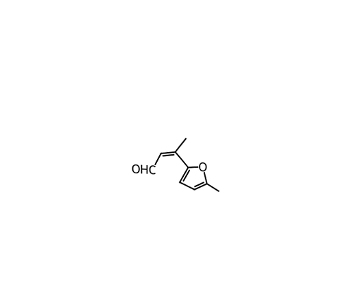 C/C(=C/C=O)c1ccc(C)o1